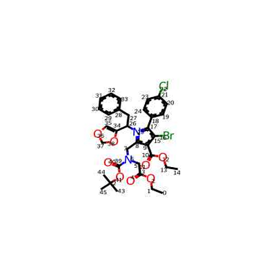 CCOC(=O)CN(Cc1c(C(=O)OCC)c(Br)c(-c2ccc(Cl)cc2)n1C(Cc1ccccc1)C1=COCO1)C(=O)OC(C)(C)C